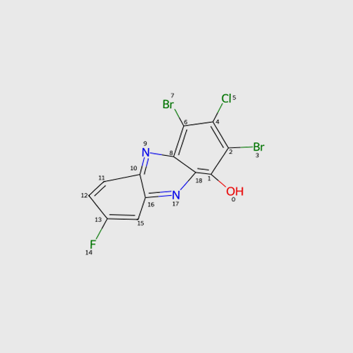 Oc1c(Br)c(Cl)c(Br)c2nc3ccc(F)cc3nc12